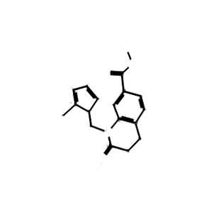 COC(=O)c1ccc2c(c1)N(CC1C=CC=C1Cl)C(=O)CC2